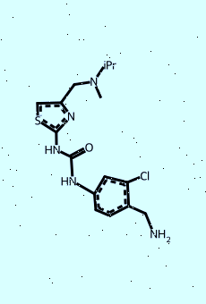 CC(C)N(C)Cc1csc(NC(=O)Nc2ccc(CN)c(Cl)c2)n1